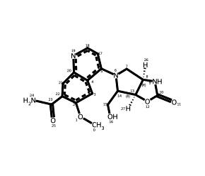 COc1cc2c(N3C[C@H]4NC(=O)O[C@H]4C3CO)ccnc2cc1C(N)=O